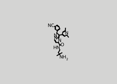 Cc1cc(-c2c(-c3cccc(C#N)c3)nn3ccc(C(=O)NCCC(C)(C)N)nc23)cc(C)n1